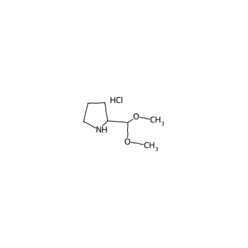 COC(OC)C1CCCN1.Cl